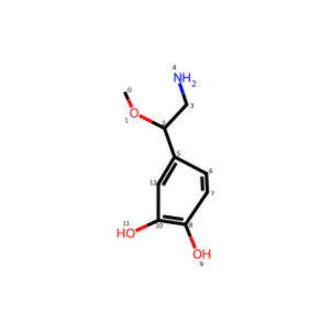 COC(CN)c1ccc(O)c(O)c1